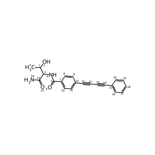 CC(O)C(NC(=O)c1ccc(C#CC#Cc2ccccc2)cc1)C(N)=O